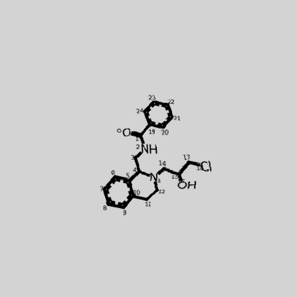 O=C(NCC1c2ccccc2CCN1CC(O)CCl)c1ccccc1